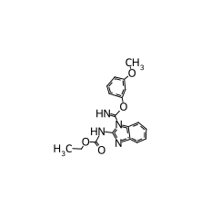 CCOC(=O)Nc1nc2ccccc2n1C(=N)Oc1cccc(OC)c1